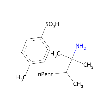 CCCCCC(C)C(C)(C)N.Cc1ccc(S(=O)(=O)O)cc1